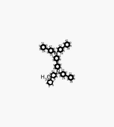 CC1(C2=CC=CCC2)C=CC(N(c2ccc(-c3ccccc3)cc2)c2ccc(-c3ccc(N(c4ccc(-c5ccccc5)cc4)c4ccc(-c5ccccc5)cc4)cc3)cc2)=CC1